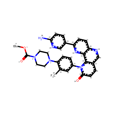 CC(C)(C)OC(=O)N1CCN(c2ccc(-n3c(=O)ccc4cnc5ccc(-c6ccc(N)nc6)nc5c43)cc2C(F)(F)F)CC1